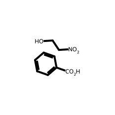 O=C(O)c1ccccc1.O=[N+]([O-])CCO